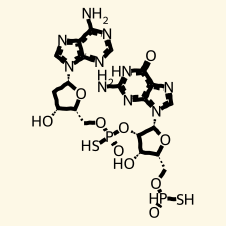 Nc1nc2c(ncn2[C@@H]2O[C@H](CO[PH](=O)S)[C@H](O)[C@@H]2OP(=O)(S)OC[C@H]2O[C@@H](n3cnc4c(N)ncnc43)C[C@H]2O)c(=O)[nH]1